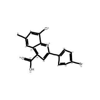 Cc1cc(Cl)c2nc(-c3ccc(Br)cc3)cc(C(=O)O)c2c1